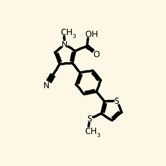 CSc1ccsc1-c1ccc(-c2c(C#N)cn(C)c2C(=O)O)cc1